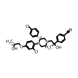 C[C@@H](O)COc1ccc(N2CCN(C[C@@](C)(O)c3ccc(C#N)cc3)C[C@H]2c2ccc(Cl)cc2)c(Cl)c1